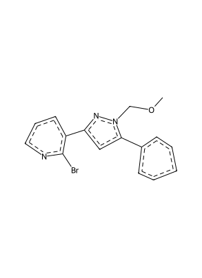 COCn1nc(-c2cccnc2Br)cc1-c1ccccc1